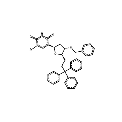 O=c1[nH]c(=O)n([C@H]2C[C@H](OCc3ccccc3)[C@@H](COC(c3ccccc3)(c3ccccc3)c3ccccc3)O2)cc1Br